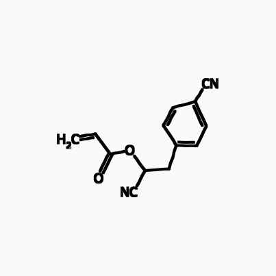 C=CC(=O)OC(C#N)Cc1ccc(C#N)cc1